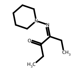 CCC(=O)C(CC)=NN1CCCCC1